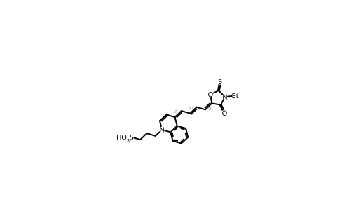 CCN1C(=O)/C(=C/C=C/C=C2/C=CN(CCCS(=O)(=O)O)c3ccccc32)OC1=S